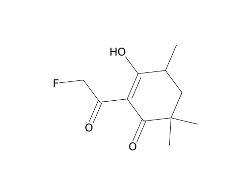 CC1CC(C)(C)C(=O)C(C(=O)CF)=C1O